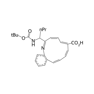 CCCC(NC(=O)OC(C)(C)C)C1=N\c2ccccc2\C=C/C=C\C(C(=O)O)=C\C=C/1